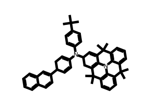 CC(C)(C)c1ccc(N(C2=CCC(c3ccc4ccccc4c3)C=C2)C2C=C3C4=C(C2)C(C)(C)c2cccc5c2N4c2c(cccc2C5(C)C)C3(C)C)cc1